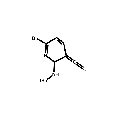 CC(C)(C)NC1N=C(Br)C=CC1=C=O